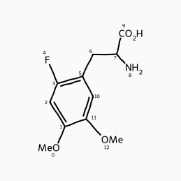 COc1cc(F)c(CC(N)C(=O)O)cc1OC